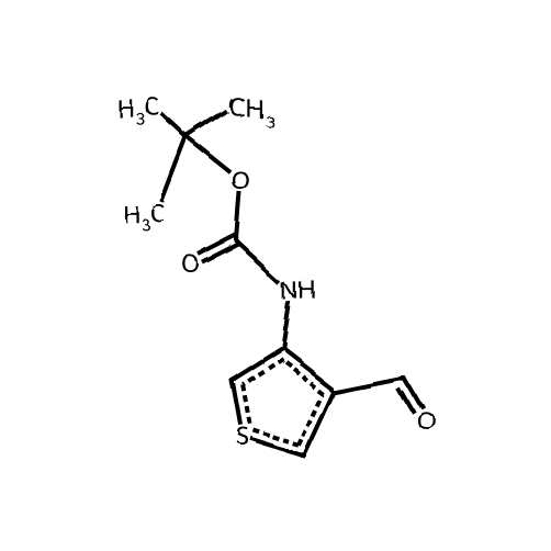 CC(C)(C)OC(=O)Nc1cscc1C=O